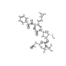 CC[C@H]1O[C@@H](n2cc(/C=C/C3CC3)c(NC(=O)c3ccccc3)nc2=O)CC1OP(OCCC#N)N(C(C)C)C(C)C